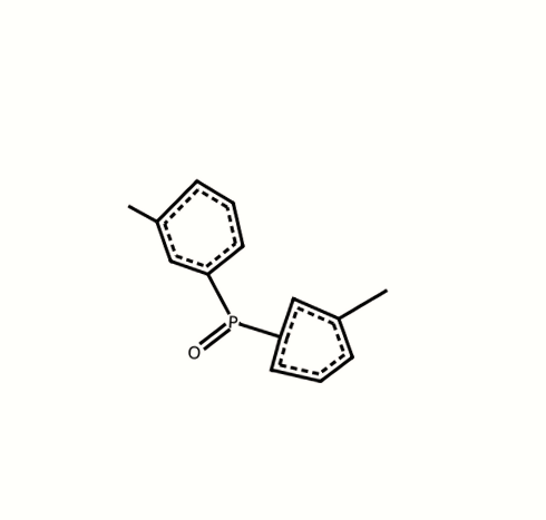 Cc1cccc([P](=O)c2cccc(C)c2)c1